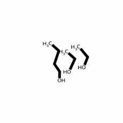 CCCCO.CCO.CCO